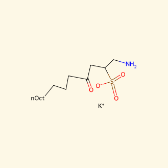 CCCCCCCCCCCC(=O)CC(CN)S(=O)(=O)[O-].[K+]